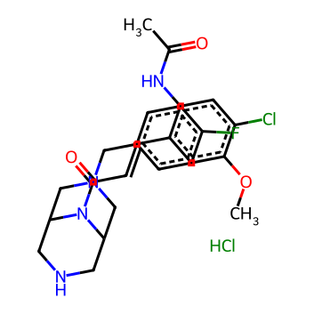 COc1cc(C=CC(=O)N2C3CNCC2CN(Cc2ccc(F)cc2)C3)c(NC(C)=O)cc1Cl.Cl